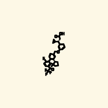 CC1(C)CCC[C@H]1c1cc(COc2cccc([C@@H](CC(=O)O)C3CC3)c2)ccc1-c1cc(C(=O)C(F)(F)F)ccc1F